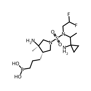 CC(N(CC(F)F)S(=O)(=O)N1C[C@H](CCCB(O)O)[C@@](C)(N)C1)C1(N)CC1